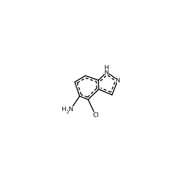 Nc1ccc2[nH]ncc2c1Cl